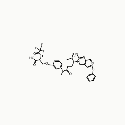 CC(C)C(CCC(=O)N(C)c1cccc(COCC(OC(=O)C(F)(F)F)C(=O)O)c1)N1Cc2cc(Oc3ccccc3)ncc2N=C1N